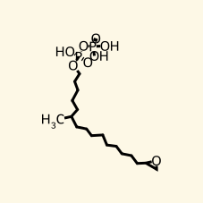 CC(CCCCCCCCCC1CO1)CCCCCOP(=O)(O)OP(=O)(O)O